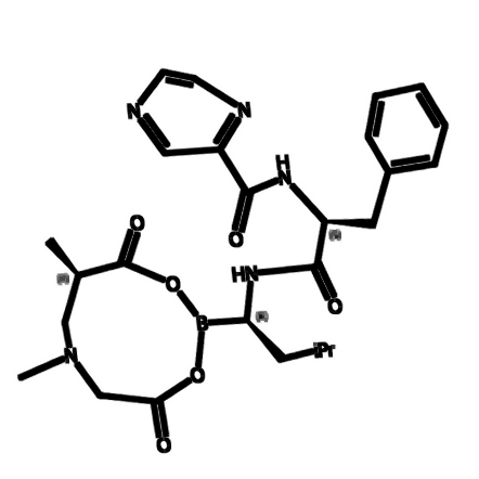 CC(C)C[C@H](NC(=O)[C@H](Cc1ccccc1)NC(=O)c1cnccn1)B1OC(=O)CN(C)C[C@@H](C)C(=O)O1